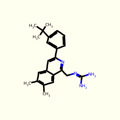 Cc1cc2cc(-c3cccc(C(C)(C)C)c3)nc(CN=C(N)N)c2cc1C